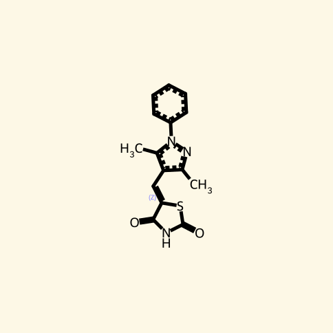 Cc1nn(-c2ccccc2)c(C)c1/C=C1\SC(=O)NC1=O